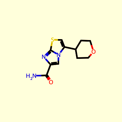 NC(=O)c1cn2c(C3CCOCC3)csc2n1